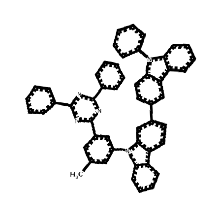 Cc1cc(-c2nc(-c3ccccc3)nc(-c3ccccc3)n2)cc(-n2c3ccccc3c3ccc(-c4ccc5c(c4)c4ccccc4n5-c4ccccc4)cc32)c1